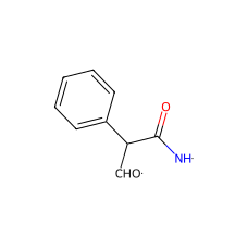 [NH]C(=O)C([C]=O)c1ccccc1